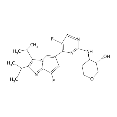 CC(C)c1nc2c(F)cc(-c3nc(N[C@@H]4CCOC[C@H]4O)ncc3F)cn2c1C(C)C